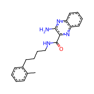 Cc1ccccc1CCCCNC(=O)c1nc2ccccc2nc1N